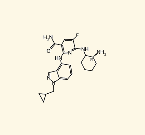 NC(=O)c1cc(F)c(NC2CCCC[C@@H]2N)nc1Nc1cccc2c1cnn2CC1CC1